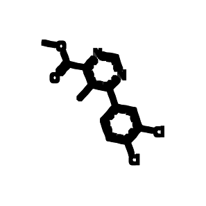 COC(=O)c1ncnc(-c2ccc(Cl)c(Cl)c2)c1C